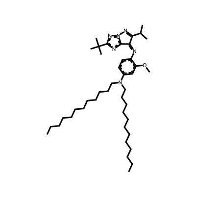 CCCCCCCCCCCCN(CCCCCCCCCCCC)c1ccc(N=C2C(C(C)C)=Nn3nc(C(C)(C)C)nc32)c(OC)c1